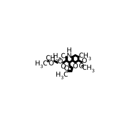 COC(=O)C1C(=O)C2=C(CC1C)NC(C)=C(C(=O)OCCOC(C)C)C2c1ccc(C)o1